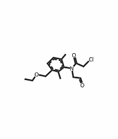 CCOCc1ccc(C)c(N(CC=O)C(=O)CCl)c1C